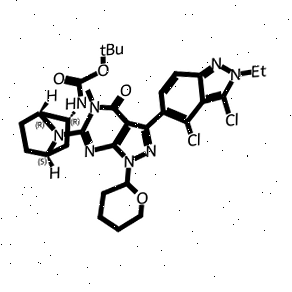 CCn1nc2ccc(-c3nn(C4CCCCO4)c4nc(N5[C@H]6CC[C@@H]5[C@H](NC(=O)OC(C)(C)C)C6)n(C)c(=O)c34)c(Cl)c2c1Cl